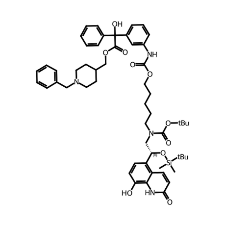 CC(C)(C)OC(=O)N(CCCCCOC(=O)Nc1cccc(C(O)(C(=O)OCC2CCN(Cc3ccccc3)CC2)c2ccccc2)c1)C[C@H](O[Si](C)(C)C(C)(C)C)c1ccc(O)c2[nH]c(=O)ccc12